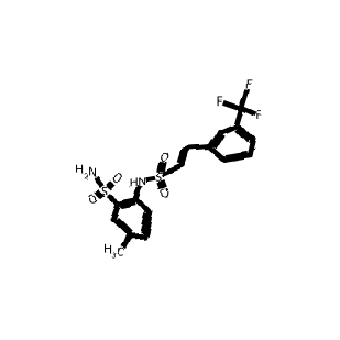 Cc1ccc(NS(=O)(=O)C=Cc2cccc(C(F)(F)F)c2)c(S(N)(=O)=O)c1